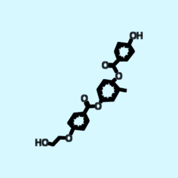 Cc1cc(OC(=O)c2ccc(OCCO)cc2)ccc1OC(=O)c1ccc(O)cc1